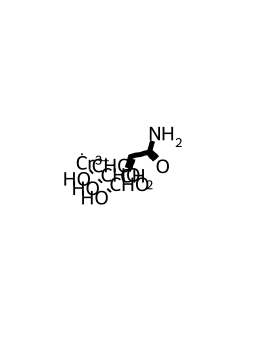 C=CC(N)=O.O=[C-]O.O=[C-]O.O=[C-]O.[Cr+3]